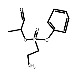 CC(C=O)OP(=O)(CCN)Oc1ccccc1